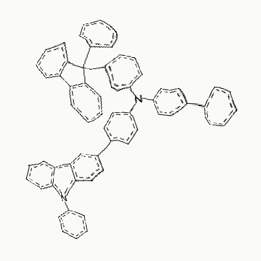 c1ccc(-c2ccc(N(c3ccc(-c4ccc5c(c4)c4ccccc4n5-c4ccccc4)cc3)c3cccc(C4(c5ccccc5)c5ccccc5-c5ccccc54)c3)cc2)cc1